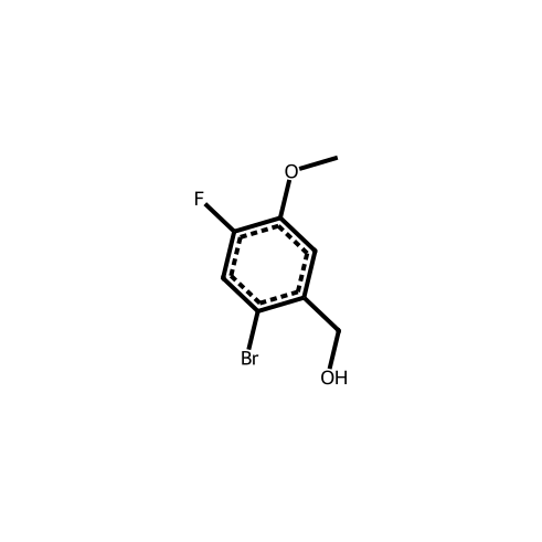 COc1cc(CO)c(Br)cc1F